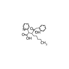 CCCCCC(C(C(=O)O)c1ccccn1)P(=O)(O)Cc1ccccc1